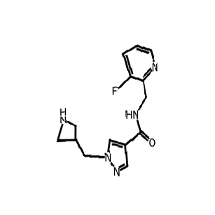 O=C(NCc1ncccc1F)c1cnn(CC2CNC2)c1